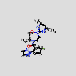 Cc1cc(C)nc(N2CCN(C(=O)c3cc(F)ccc3-n3nccn3)[C@H](C)CO2)n1